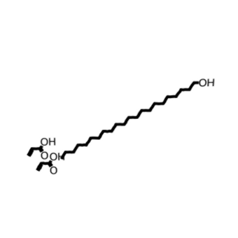 C=CC(=O)O.C=CC(=O)O.CCCCCCCCCCCCCCCCCCCCCCO